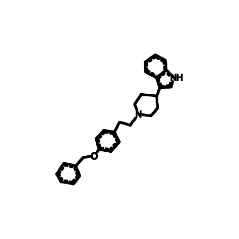 c1ccc(COc2ccc(CCN3CCC(c4c[nH]c5ccccc45)CC3)cc2)cc1